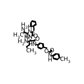 CCCC(N)[C@H](NC(=O)[C@H](Cc1ccccc1)NC(=O)[C@@H](C)N)C(=O)Nc1ccc(COC(=O)Nc2ccc(C)cc2)cc1